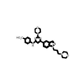 O=C(O)c1ccc(Nc2cc(-c3ccc4c(cnn4CCCN4CCOCC4)c3)nc(N3CCOCC3)n2)cc1